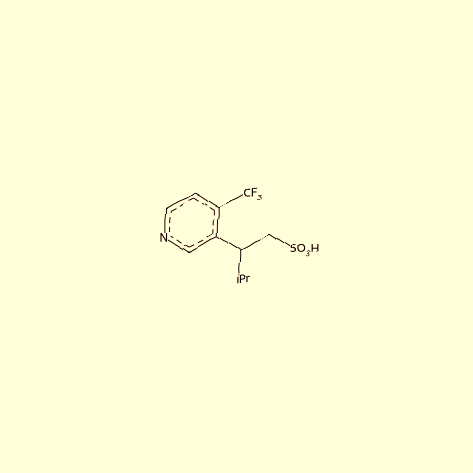 CC(C)C(CS(=O)(=O)O)c1cnccc1C(F)(F)F